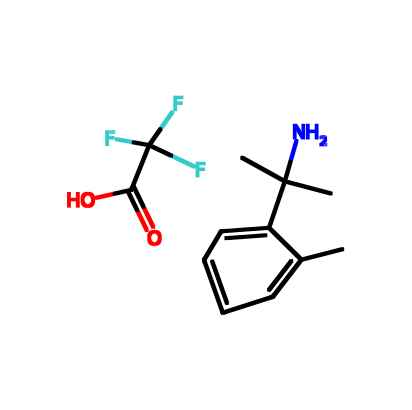 Cc1ccccc1C(C)(C)N.O=C(O)C(F)(F)F